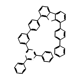 c1ccc(-c2ccc(-c3cccc4c3oc3c(-c5ccc(-c6cccc(-c7nc(-c8ccccc8)nc(-c8ccccc8)n7)c6)cc5)cccc34)cc2)cc1